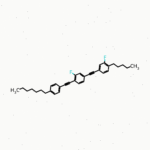 CCCCCCCc1ccc(C#Cc2ccc(C#Cc3ccc(CCCCC)c(F)c3)cc2F)cc1